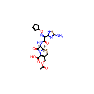 CC(=O)OCC1=C(C(=O)O)N2C(=O)[C@@H](NC(=O)C(=NOC3C=CCC3)c3nsc(N)n3)[C@H]2SC1